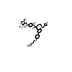 CCCCOCCOc1ccc(-c2ccc3c(c2)/C=C(/C(=O)Nc2ccc([S@+]([O-])Cc4c(C)ncn4CC)cc2)CCCN3CC2COC2)cc1